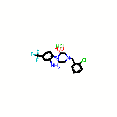 Cl.Nc1cc(C(F)(F)F)ccc1N1CCN(Cc2ccccc2Cl)CC1.O